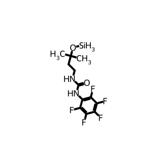 CC(C)(CCNC(=O)Nc1c(F)c(F)c(F)c(F)c1F)O[SiH3]